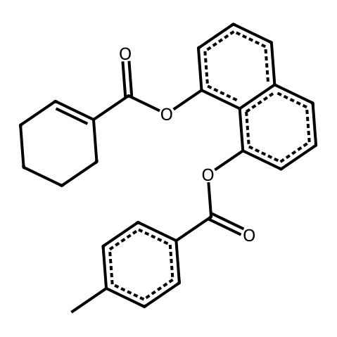 Cc1ccc(C(=O)Oc2cccc3cccc(OC(=O)C4=CCCCC4)c23)cc1